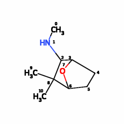 CNC1C2CCC(O2)C1(C)C